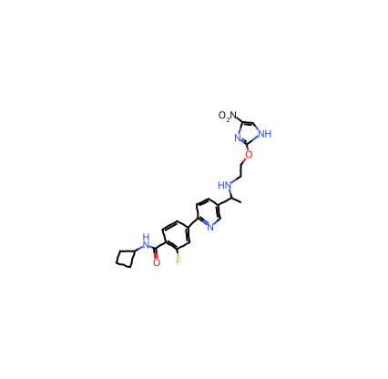 CC(NCCOc1nc([N+](=O)[O-])c[nH]1)c1ccc(-c2ccc(C(=O)NC3CCC3)c(F)c2)nc1